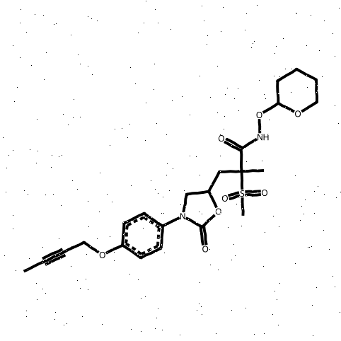 CC#CCOc1ccc(N2CC(CC(C)(C(=O)NOC3CCCCO3)S(C)(=O)=O)OC2=O)cc1